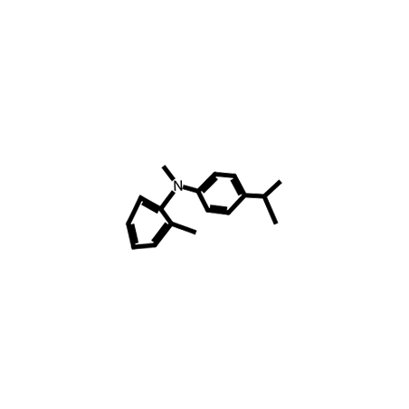 Cc1ccccc1N(C)c1ccc(C(C)C)cc1